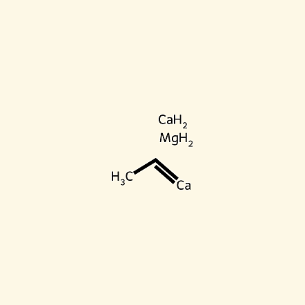 C[CH]=[Ca].[CaH2].[MgH2]